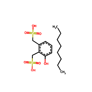 CCCCCCCC.O=S(=O)(O)Cc1cccc(O)c1CS(=O)(=O)O